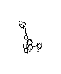 c1ncc([C@H]2CN3CCC[C@@H]3c3cc(OCCCN4CCOCC4)ccc32)s1